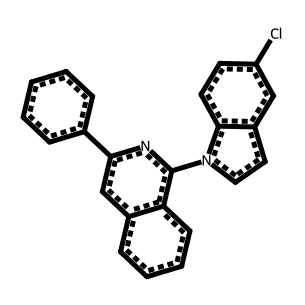 Clc1ccc2c(ccn2-c2nc(-c3ccccc3)cc3ccccc23)c1